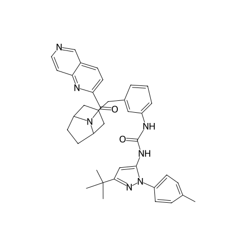 Cc1ccc(-n2nc(C(C)(C)C)cc2NC(=O)Nc2cccc(CC3CC4CCC(C3)N4C(=O)c3ccc4cnccc4n3)c2)cc1